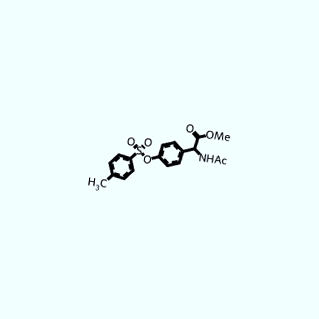 COC(=O)C(NC(C)=O)c1ccc(OS(=O)(=O)c2ccc(C)cc2)cc1